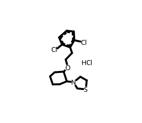 Cl.Clc1cccc(Cl)c1CCOC1CCCCC1N1CCSC1